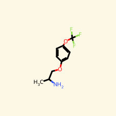 CC(N)COc1ccc(OC(F)(F)F)cc1